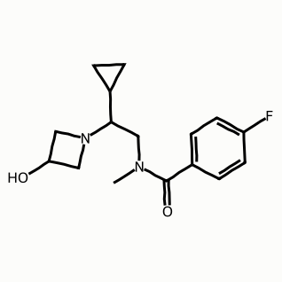 CN(CC(C1CC1)N1CC(O)C1)C(=O)c1ccc(F)cc1